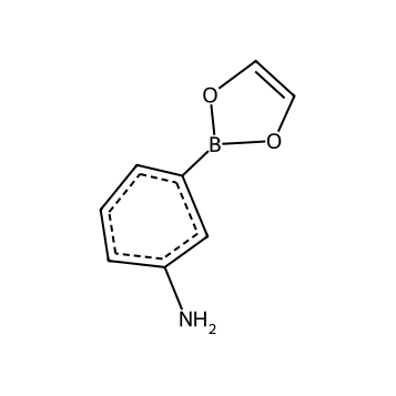 Nc1cccc(B2OC=CO2)c1